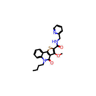 CCCCn1c(=O)c2c(OC)c(C(=O)NCc3ccccn3)sc2c2ccccc21